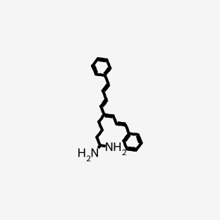 NC(N)CCCC(C=CC=Cc1ccccc1)=CC=Cc1ccccc1